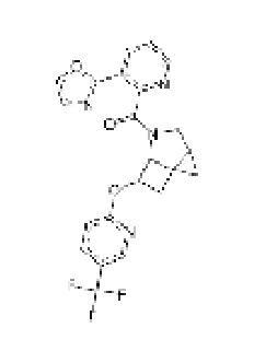 O=C(c1ncccc1-c1ncco1)N1CC2CC23CC(Oc2ccc(C(F)(F)F)cn2)C13